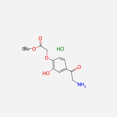 CC(C)(C)OC(=O)COc1ccc(C(=O)CN)cc1O.Cl